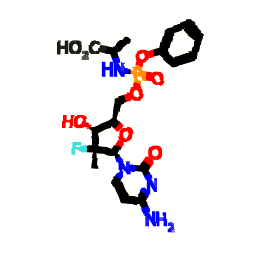 CC(N[P@@](=O)(OC[C@H]1O[C@@H](n2ccc(N)nc2=O)[C@](C)(F)[C@@H]1O)Oc1ccccc1)C(=O)O